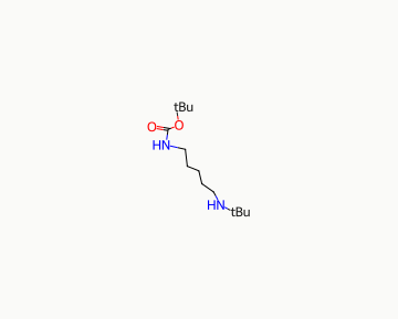 CC(C)(C)NCCCCCNC(=O)OC(C)(C)C